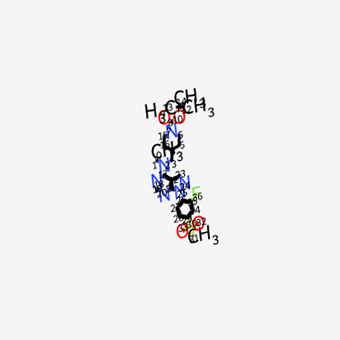 CCN(CC1CCN(C(=O)OC(C)(C)C)CC1)c1ncnc2c1cnn2-c1ccc(S(C)(=O)=O)cc1F